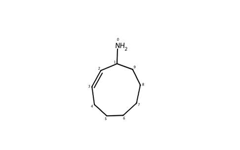 NC1/C=C\CCCCCC1